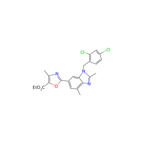 CCOC(=O)c1oc(-c2cc(C)c3nc(C)n(Cc4ccc(Cl)cc4Cl)c3c2)nc1C